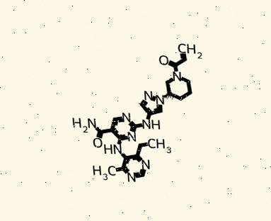 C=CC(=O)N1CCC[C@@H](n2cc(Nc3ncc(C(N)=O)c(Nc4c(C)ncnc4CC)n3)cn2)C1